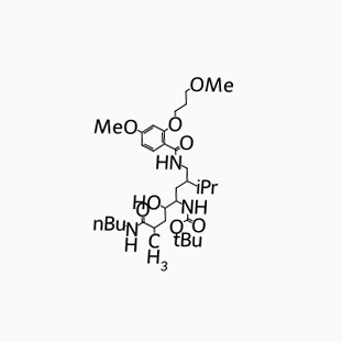 CCCCNC(=O)C(C)CC(O)C(CC(CNC(=O)c1ccc(OC)cc1OCCCOC)C(C)C)NC(=O)OC(C)(C)C